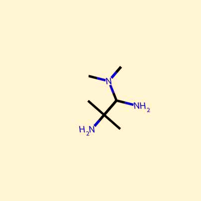 CN(C)C(N)C(C)(C)N